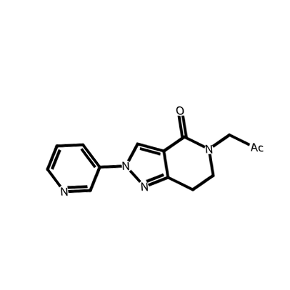 CC(=O)CN1CCc2nn(-c3cccnc3)cc2C1=O